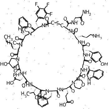 CCCC[C@H]1C(=O)N2C[C@H](O)C[C@@H]2C(=O)N[C@@H](CC(O)=P)C(=O)N[C@@H](C(C)C)C(=O)N(C)[C@@H](Cc2ccccc2)C(=O)N[C@@H](CCC(=O)O)C(=O)N2CCOC[C@@H]2C(=O)N[C@@H](Cc2c[nH]c3ccccc23)C(=O)N[C@@H](Cc2ccc(O)cc2)C(=O)N[C@@H](CCCN)C(=O)N[C@H](C(=O)NCC(N)=O)CSCC(=O)N[C@@H](Cc2cc(F)c(F)c(F)c2)C(=O)N(C)[C@@H](Cc2ccccc2)C(=O)N1C